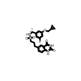 C[C@@H](NS(=O)(=O)CCCc1ccc2[nH]c(=O)[nH]c(=O)c2c1)c1cc(F)cc(OCC2CC2)c1